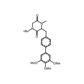 CCCCN1CC(=O)N(C)C(Cc2ccc(-c3cc(OC)c(OC)c(OC)c3)cc2)C1=O